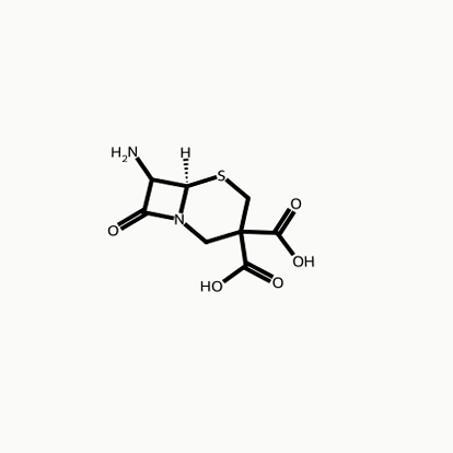 NC1C(=O)N2CC(C(=O)O)(C(=O)O)CS[C@H]12